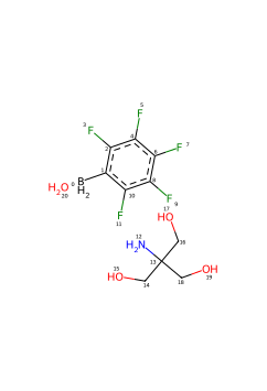 Bc1c(F)c(F)c(F)c(F)c1F.NC(CO)(CO)CO.O